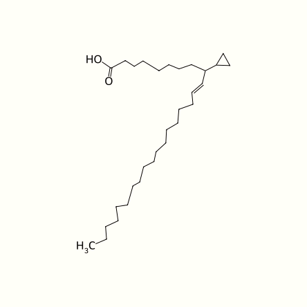 CCCCCCCCCCCCCCCCC=CC(CCCCCCCC(=O)O)C1CC1